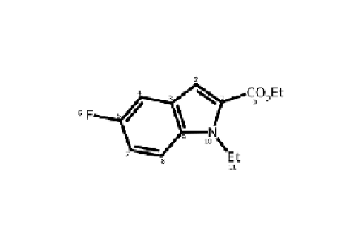 CCOC(=O)c1cc2cc(F)ccc2n1CC